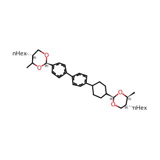 CCCCCC[C@@H]1CO[C@@H](c2ccc(-c3ccc(C4CCC([C@@H]5OC[C@@H](CCCCCC)[C@H](C)O5)CC4)cc3)cc2)OC1C